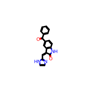 O=C1Nc2ccc(C(=O)c3ccccc3)cc2C1=Cc1ncc[nH]1